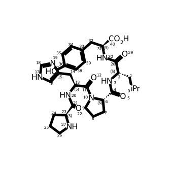 CC(C)C[C@H](NC(=O)[C@@H]1CCCN1C(=O)[C@H](Cc1c[nH]cn1)NC(=O)[C@@H]1CCCN1)C(=O)N[C@@H](Cc1ccc(O)cc1)C(=O)O